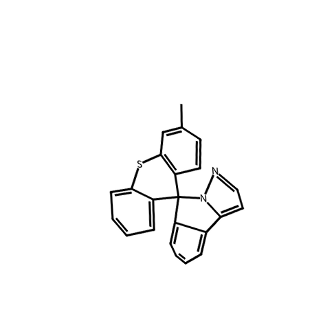 Cc1ccc2c(c1)Sc1ccccc1C21c2ccccc2-c2ccnn21